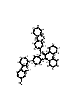 Clc1ccc2c(c1)sc1c(-c3ccc4c5c6ccccc6c6ccccc6c5n(-c5ccc6c(c5)sc5ccccc56)c4c3)cccc12